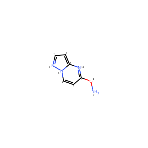 NOc1ccn2nccc2n1